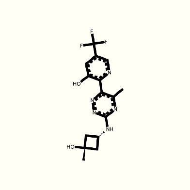 Cc1nc(N[C@H]2C[C@@](C)(O)C2)nnc1-c1ncc(C(F)(F)F)cc1O